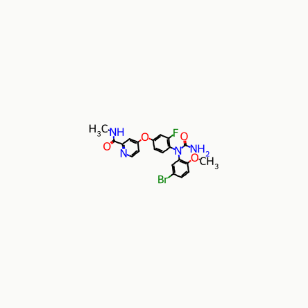 CNC(=O)c1cc(Oc2ccc(N(C(N)=O)c3cc(Br)ccc3OC)c(F)c2)ccn1